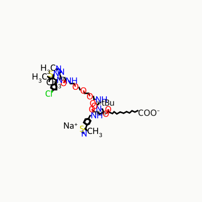 Cc1ncsc1-c1ccc(CNC(=O)[C@@H]2C[C@@H](OC(=O)CCCCCCCCCCC(=O)[O-])CN2C(=O)[C@@H](NC(=O)COCCOCCOCCNC(=O)C[C@@H]2N=C(c3ccc(Cl)cc3)c3c(sc(C)c3C)-n3c(C)nnc32)C(C)(C)C)cc1.[Na+]